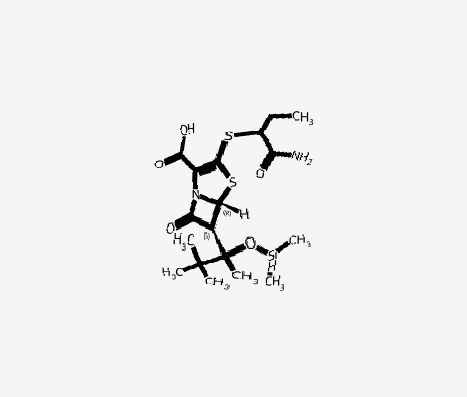 CCC(SC1=C(C(=O)O)N2C(=O)[C@H](C(C)(O[SiH](C)C)C(C)(C)C)[C@H]2S1)C(N)=O